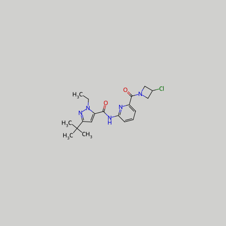 CCn1nc(C(C)(C)C)cc1C(=O)Nc1cccc(C(=O)N2CC(Cl)C2)n1